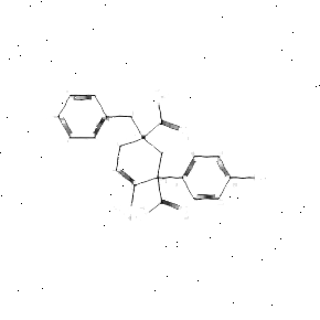 CC1=CCC(Cc2ccccc2)(C(=O)O)CC1(C(=O)O)c1ccc(I)cc1